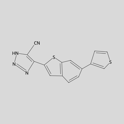 N#Cc1[nH]nnc1-c1cc2ccc(-c3ccsc3)cc2s1